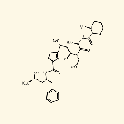 CC[C@H](C)[C@H](NC(=O)[C@H]1CCCCN1C)C(=O)N(COC(C)=O)[C@H](C[C@@H](OC(C)=O)c1nc(C(=O)N[C@@H](Cc2ccccc2)C[C@H](C)C(=O)O)cs1)C(C)C